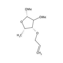 C=CCO[C@H]1C(OC)[C@@H](OC)O[C@H]1C